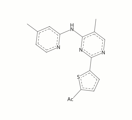 CC(=O)c1ccc(-c2ncc(C)c(Nc3cc(C)ccn3)n2)s1